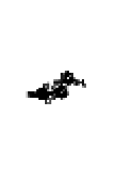 N#Cc1cc(Cl)c(-c2nc3ccnc(Nc4cc(N)ncn4)c3s2)c(Cl)c1